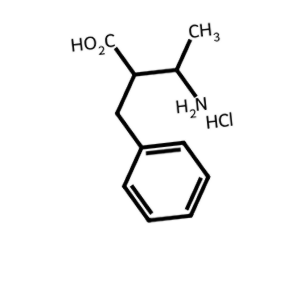 CC(N)C(Cc1ccccc1)C(=O)O.Cl